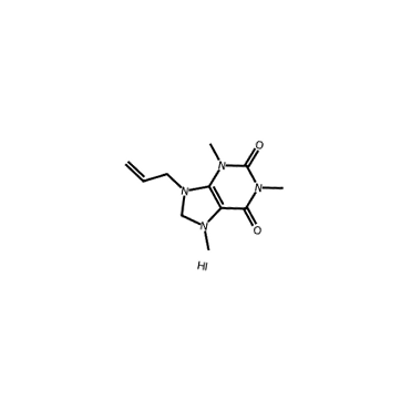 C=CCN1CN(C)c2c1n(C)c(=O)n(C)c2=O.I